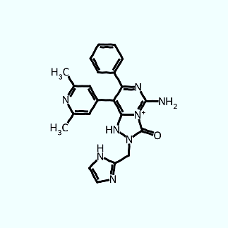 Cc1cc(-c2c(-c3ccccc3)nc(N)[n+]3c(=O)n(Cc4ncc[nH]4)[nH]c23)cc(C)n1